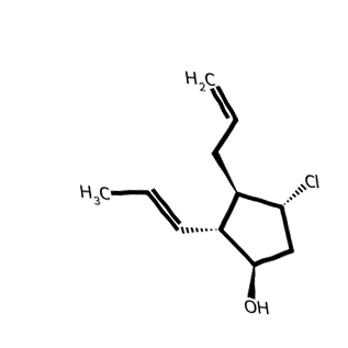 C=CC[C@@H]1[C@@H](/C=C/C)[C@H](O)C[C@H]1Cl